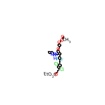 CCOC(=O)OCCCCc1ccc2c(Cl)c(C#Cc3c(F)cc(-c4ccc5cc(OCc6ccc(OCCOCC7(C)CO7)cc6)ccc5c4/C=N/Nc4ccc5ccccc5n4)cc3F)ccc2c1Cl